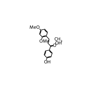 CO.COc1ccc(CCC(=O)c2ccc(O)cc2)c(OC)c1